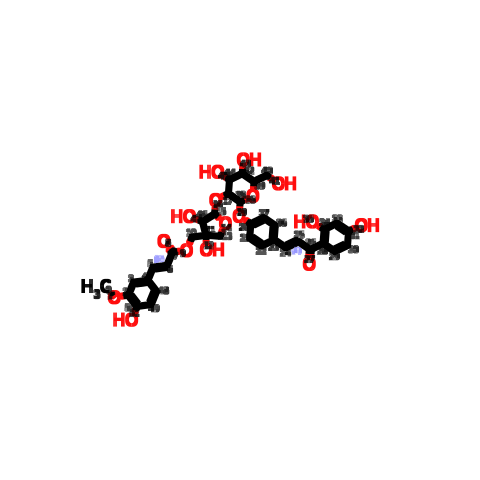 COc1cc(/C=C/C(=O)OCC2(O)COC(OC3C(Oc4ccc(/C=C/C(=O)c5ccc(O)cc5O)cc4)OC(CO)C(O)C3O)C2O)ccc1O